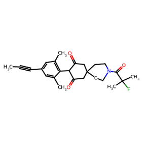 CC#Cc1cc(C)c(C2C(=O)CC3(CCN(C(=O)C(C)(C)F)CC3)CC2=O)c(C)c1